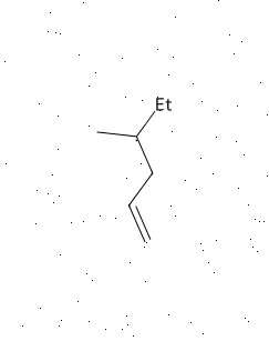 C=CC[C](C)CC